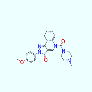 COc1ccc(N2N=C3C(=CN(C(=O)N4CCN(C)CC4)C4=CC=CCC43)C2=O)cc1